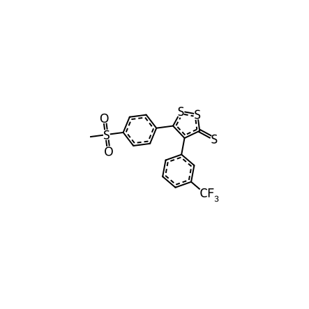 CS(=O)(=O)c1ccc(-c2ssc(=S)c2-c2cccc(C(F)(F)F)c2)cc1